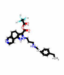 CCc1ccc(CCNCCCn2nc3c(c2C(=O)OC(=O)C(F)(F)F)CCc2cnccc2-3)cc1